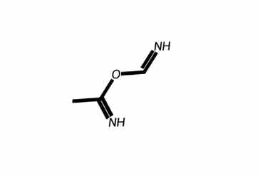 CC(=N)OC=N